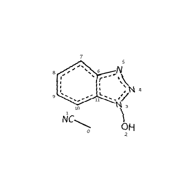 CC#N.On1nnc2ccccc21